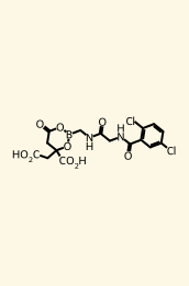 O=C(O)CC1(C(=O)O)CC(=O)OB(CNC(=O)CNC(=O)c2cc(Cl)ccc2Cl)O1